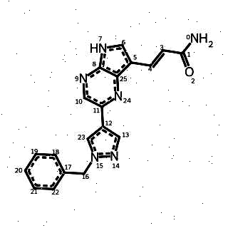 NC(=O)C=Cc1c[nH]c2ncc(-c3cnn(Cc4ccccc4)c3)nc12